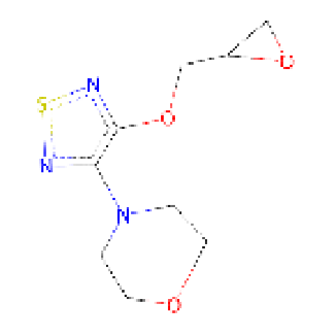 C1CN(c2nsnc2OCC2CO2)CCO1